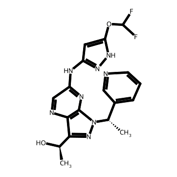 C[C@@H](O)c1nn([C@@H](C)c2cccnc2)c2nc(Nc3cc(OC(F)F)[nH]n3)cnc12